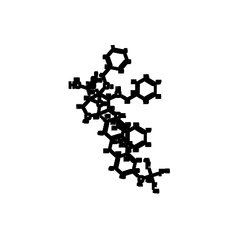 CO[C@]1(OCc2ccccc2)[C@@H](OCc2ccccc2)[C@@H](OCc2ccccc2)[C@@]2(c3ccc(Cl)c(Cc4ccc(OC(F)(F)F)cc4)c3)OC[C@]1(C(=O)O)O2